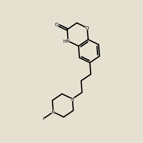 O=C1COc2ccc(CCCN3CCN(I)CC3)cc2N1